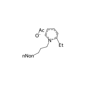 CC(=O)[O-].CCCCCCCCCCCC[n+]1ccccc1CC